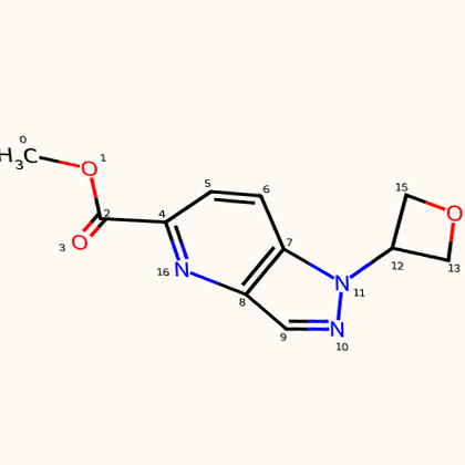 COC(=O)c1ccc2c(cnn2C2COC2)n1